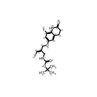 CC(C)(C)OC(=O)NC/C(=C\F)COc1cc(F)c2c(c1)CCC(=O)N2